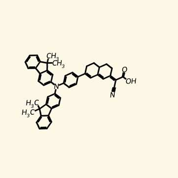 CC1(C)c2ccccc2-c2ccc(N(c3ccc(C4=CC5=C/C(=C(\C#N)C(=O)O)CCC5CC4)cc3)c3ccc4c(c3)C(C)(C)c3ccccc3-4)cc21